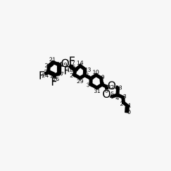 C=CCCC1COC(C2CCC(C3CCC(C(F)(F)Oc4ccc(F)c(F)c4)CC3)CC2)OC1